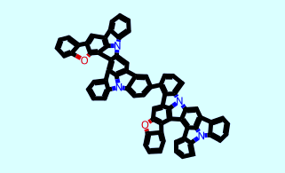 c1ccc2c(c1)oc1c2cc2c3ccccc3n3c4cc5c6cc(-c7cccc8c7c7cc9oc%10ccccc%10c9c9c%10c%11c%12ccccc%12n%12c%13ccccc%13c(cc%10n8c79)c%11%12)ccc6n6c7ccccc7c(c4c1c23)c56